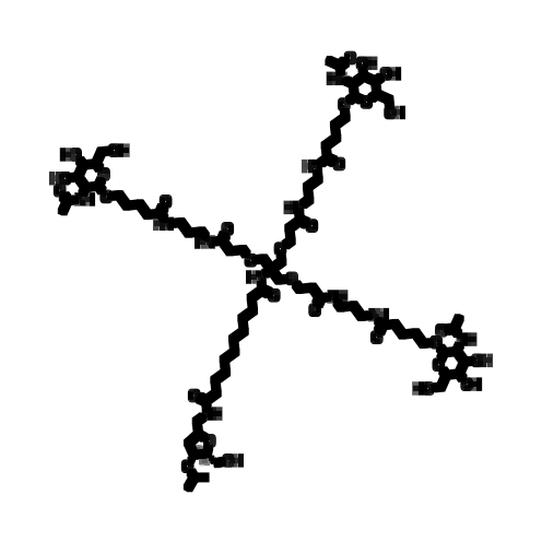 CC(=O)NC1C(OCCCCC(=O)NCCCNC(=O)CCOCC(COCCC(=O)NCCCNC(=O)CCCCOC2OC(CO)C(O)C(O)C2NC(C)=O)(COCCC(=O)NCCCNC(=O)CCCCOC2OC(CO)C(O)C(O)C2NC(C)=O)NC(=O)CCCCCCCCCCC(=O)NCC2C[C@H](OC(C)C)[C@@H](CO)O2)OC(CO)C(O)C1O